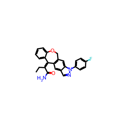 CCC(C(N)=O)=C1c2cc3cnn(-c4ccc(F)cc4)c3cc2COc2ccccc21